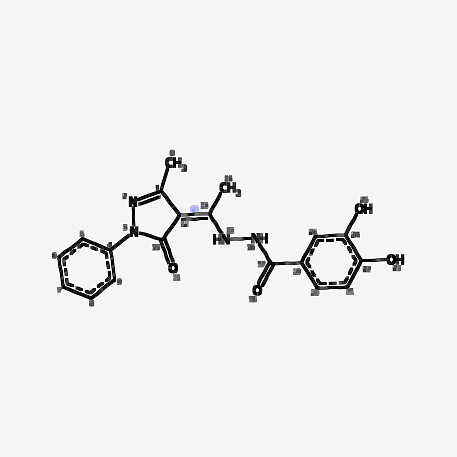 CC1=NN(c2ccccc2)C(=O)/C1=C(/C)NNC(=O)c1ccc(O)c(O)c1